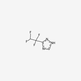 FC(F)C(F)(F)c1nc[nH]n1